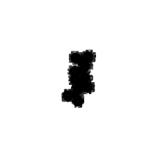 c1ccc(N(c2ccccc2)c2ccc([Si](c3ccccc3)(c3ccccc3)c3cccc(N(c4ccccc4)c4ccc5c6ccccc6n(-c6ccccc6)c5c4)c3)cc2)cc1